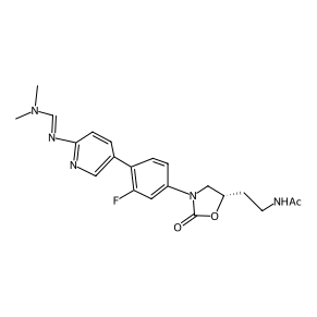 CC(=O)NCC[C@H]1CN(c2ccc(-c3ccc(N=CN(C)C)nc3)c(F)c2)C(=O)O1